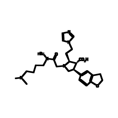 CCCCN(CCCCN(C)C)C(=O)CN1C[C@H](c2ccc3c(c2)CCO3)[C@@H](C(=O)O)[C@@H]1CCn1ccnc1